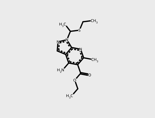 CCOC(=O)c1c(C)nc2c(cnn2C(C)SCC)c1N